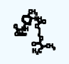 C=C(C)C(=O)OCCOC(=O)Nc1cc(NC(=O)OC)ccc1C